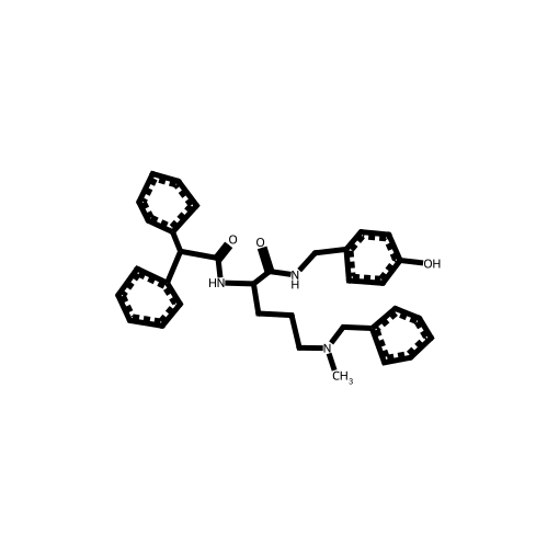 CN(CCCC(NC(=O)C(c1ccccc1)c1ccccc1)C(=O)NCc1ccc(O)cc1)Cc1ccccc1